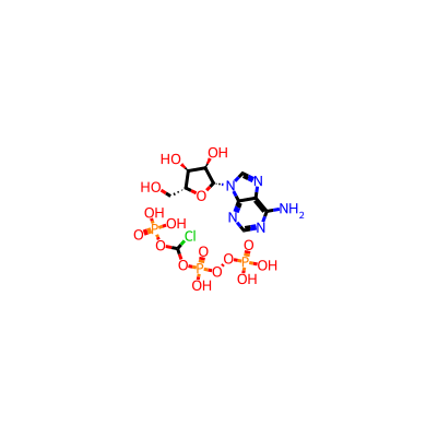 Nc1ncnc2c1ncn2[C@@H]1O[C@H](CO)[C@@H](O)[C@H]1O.O=P(O)(O)OOP(=O)(O)OC(Cl)OP(=O)(O)O